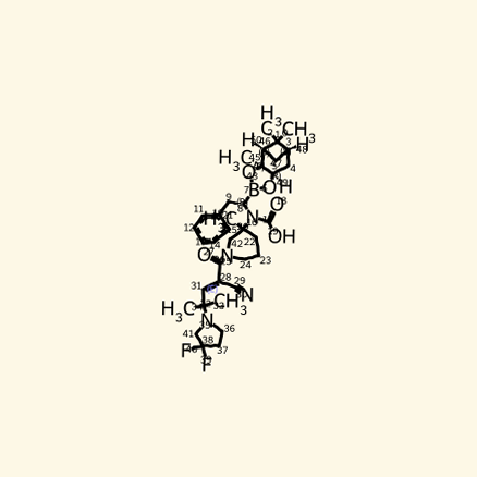 CC1(C)[C@@H]2C[C@H]3OB([C@H](Cc4ccccc4)N(C(=O)O)C4(C)CCCN(C(=O)/C(C#N)=C/C(C)(C)N5CCC(F)(F)C5)C4)O[C@@]3(C)[C@H]1C2